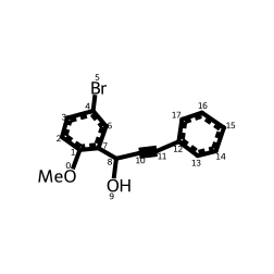 COc1ccc(Br)cc1C(O)C#Cc1ccccc1